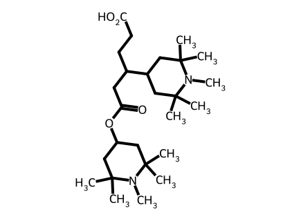 CN1C(C)(C)CC(OC(=O)CC(CCC(=O)O)C2CC(C)(C)N(C)C(C)(C)C2)CC1(C)C